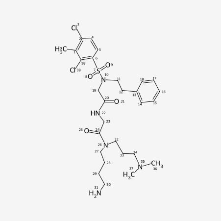 Cc1c(Cl)ccc(S(=O)(=O)N(CCc2ccccc2)CC(=O)NCC(=O)N(CCCCN)CCCN(C)C)c1Cl